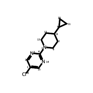 Clc1cnc(N2CCC(C3[CH]C3)CC2)nc1